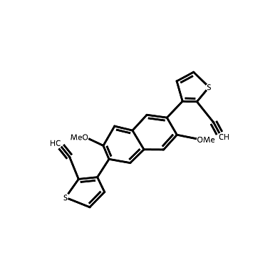 C#Cc1sccc1-c1cc2cc(OC)c(-c3ccsc3C#C)cc2cc1OC